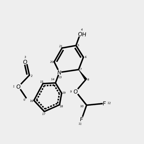 COC=O.OC1=C[C@@H](COC(F)F)N(c2ccccc2)C=C1